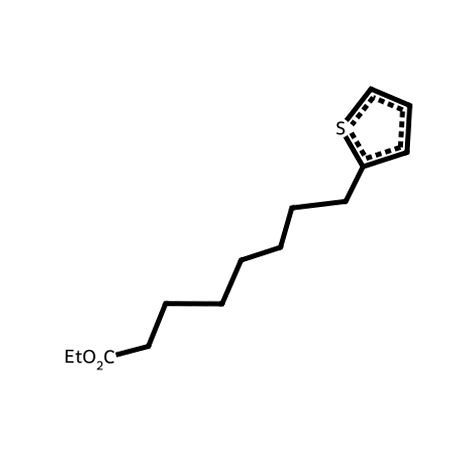 CCOC(=O)CCCCCCCc1cccs1